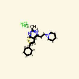 Cc1nc(CCN2CCCCC2)c2cc(C3CCCCC3)sc2n1.Cl.Cl